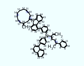 C=C/C(=C\C=C(/C)c1ccccc1)N(c1ccc(-c2cccc3ccccc23)cc1)c1cccc(-c2cccc3c2c2ccccc2n3/C2=C/C=C\CC/C=C\C=C/C(=C)C2)c1